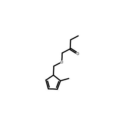 CCC(=O)COCC1C=CC=C1C